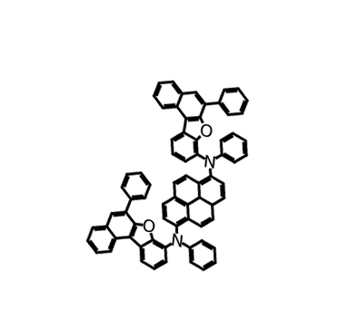 C1=Cc2ccc(N(c3ccccc3)c3cccc4c3oc3c(-c5ccccc5)cc5ccccc5c34)c3c2C2C1=C(N(c1ccccc1)c1cccc4c1oc1c(-c5ccccc5)cc5ccccc5c14)C=CC2C=C3